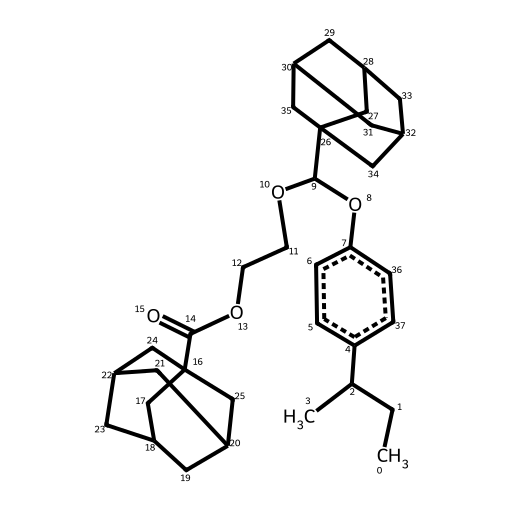 CCC(C)c1ccc(OC(OCCOC(=O)C23CC4CC(CC(C4)C2)C3)C23CC4CC(CC(C4)C2)C3)cc1